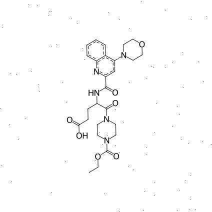 CCOC(=O)N1CCN(C(=O)C(CCC(=O)O)NC(=O)c2cc(N3CCOCC3)c3ccccc3n2)CC1